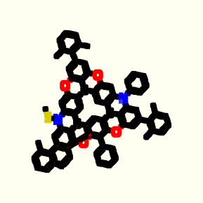 CSN1c2cc3c(cc2B2c4ccc(-c5ccccc5)cc4Oc4cc(-c5c(C)cccc5C)cc1c42)B1c2cc4c(cc2Oc2cc(-c5c(C)cccc5C)cc(c21)O3)N(c1ccccc1)c1cc(-c2c(C)cccc2C)cc2c1B4c1cccc(-c3ccccc3)c1O2